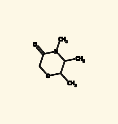 CC1OCC(=O)N(C)C1C